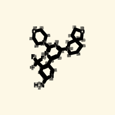 Nc1cc(C(F)(F)F)c(-c2cc(N3CCCC4(CCOC4)C3)nc(N3CCOCC3)n2)cn1